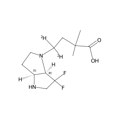 [2H]C([2H])(CC(C)(C)C(=O)O)N1CC[C@@H]2NCC(F)(F)[C@@H]21